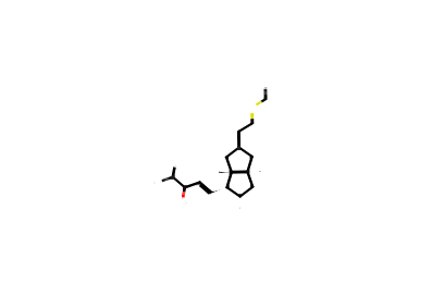 CCCCC(C)C(O)C=C[C@H]1[C@@H]2CC(CCSCC(=O)O)C[C@H]2C[C@@H]1O